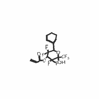 C=CC(=O)OC1C(F)(F)C(C2CCCCC2)OC(O)(C(F)(F)F)C1(F)F